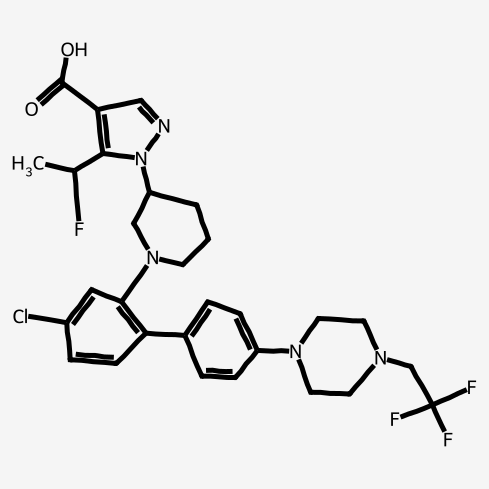 CC(F)c1c(C(=O)O)cnn1C1CCCN(c2cc(Cl)ccc2-c2ccc(N3CCN(CC(F)(F)F)CC3)cc2)C1